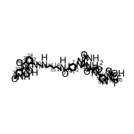 NC(=O)c1nn(-c2ccc(C(=O)NCCCCCNCCNc3cccc4c3C(=O)N(C3CCC(=O)NC3=O)C4=O)cc2)cc1NC(=O)c1coc(-c2ccnc(N(CC(F)(F)F)C(=O)O)c2)n1